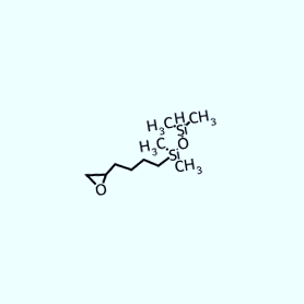 C[SiH](C)O[Si](C)(C)CCCCC1CO1